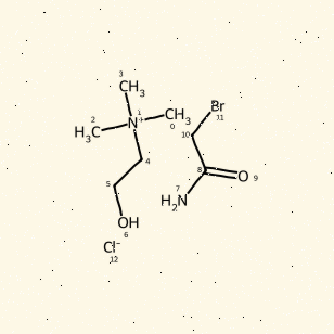 C[N+](C)(C)CCO.NC(=O)CBr.[Cl-]